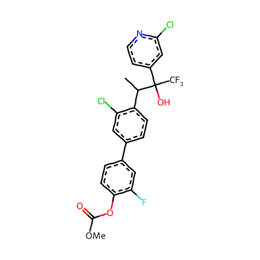 COC(=O)Oc1ccc(-c2ccc(C(C)C(O)(c3ccnc(Cl)c3)C(F)(F)F)c(Cl)c2)cc1F